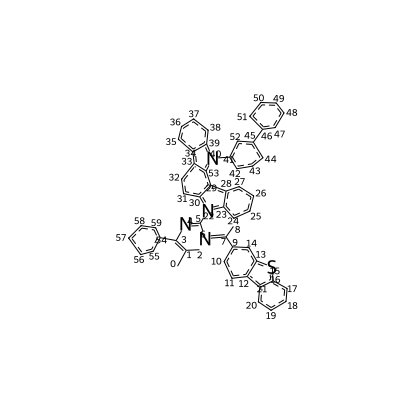 CC(C)=C(/N=C(\N=C(/C)c1ccc2c(c1)sc1ccccc12)n1c2ccccc2c2c1ccc1c3ccccc3n(-c3cccc(-c4ccccc4)c3)c12)c1ccccc1